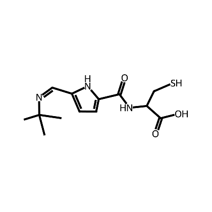 CC(C)(C)/N=C\c1ccc(C(=O)NC(CS)C(=O)O)[nH]1